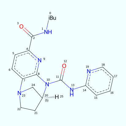 CCC(C)NC(=O)c1ccc2c(n1)N(C(=O)Nc1ccccn1)[C@H]1CCN2C1